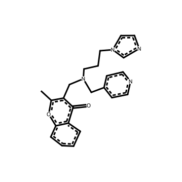 Cc1oc2ccccc2c(=O)c1CN(CCCn1ccnc1)Cc1ccncc1